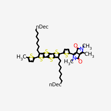 CCCCCCCCCCCCCCCCCc1c(-c2ccc(C)s2)sc2c1sc1c3sc(-c4ccc(C5=C6C(=O)N(C)C(C)=C6C(=O)N5C)s4)c(CCCCCCCCCCCCCCCCC)c3sc21